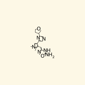 C=N/C(=C\c1c(-c2cncc(C3CCOC3)n2)cn(C)c1C)NC(N)=O